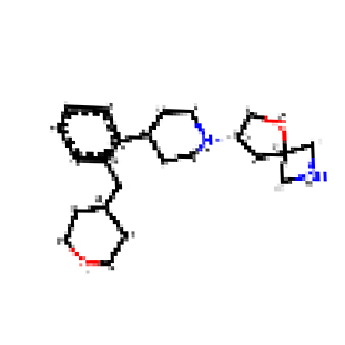 c1ccc(C2CCN([C@@H]3COC4(CNC4)C3)CC2)c(CC2CCOCC2)c1